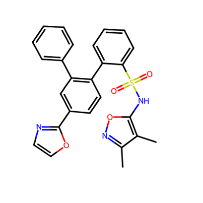 Cc1noc(NS(=O)(=O)c2ccccc2-c2ccc(-c3ncco3)cc2-c2ccccc2)c1C